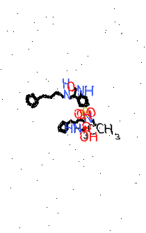 CC(C)CN(CC(O)C(Cc1ccccc1)NC(=O)O)S(=O)(=O)c1ccc2c(c1)C(=CNCCCCc1ccccc1)C(=O)N2